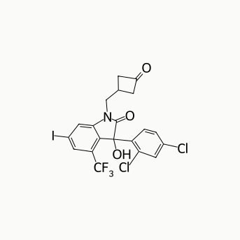 O=C1CC(CN2C(=O)C(O)(c3ccc(Cl)cc3Cl)c3c2cc(I)cc3C(F)(F)F)C1